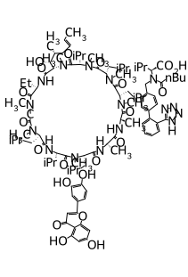 C/C=C/C[C@@H](C)[C@@H](O)[C@H]1C(=O)N[C@@H](CC)C(=O)N(C)CC(=O)N(C)[C@@H](CC(C)C)C(=O)N[C@@H](C(C)C)C(=O)N(C)[C@@H](CC(C)C)C(=O)N[C@@H](C)C(=O)N[C@H](C)C(=O)N(C)[C@@H](CC(C)C)C(=O)N(C)[C@@H](CC(C)C)C(=O)N(C)[C@@H](C(C)C)C(=O)N1C.CCCCC(=O)N(Cc1ccc(-c2ccccc2-c2nnn[nH]2)cc1)[C@H](C(=O)O)C(C)C.O=c1cc(-c2ccc(O)c(O)c2)oc2cc(O)cc(O)c12